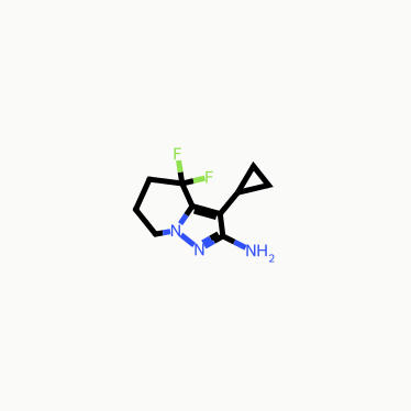 Nc1nn2c(c1C1CC1)C(F)(F)CCC2